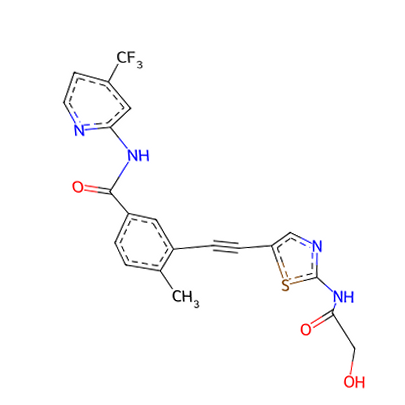 Cc1ccc(C(=O)Nc2cc(C(F)(F)F)ccn2)cc1C#Cc1cnc(NC(=O)CO)s1